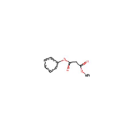 CCCOC(=O)CC(=O)Oc1ccccc1